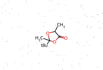 CC1OC(C)(C(C)(C)C)OC1=O